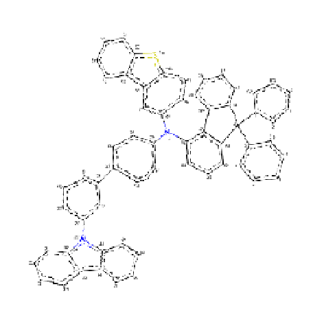 c1ccc(C2(c3ccccc3)c3ccccc3-c3c(N(c4ccc(-c5cccc(-n6c7ccccc7c7ccccc76)c5)cc4)c4ccc5sc6ccccc6c5c4)cccc32)cc1